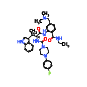 CCNC(=O)c1ccc(CN(C)C)cc1NC(=O)[C@H](NC(=O)N1CCN(c2ccc(F)cc2)CC1)[C@H](C)c1c[nH]c2ccccc12